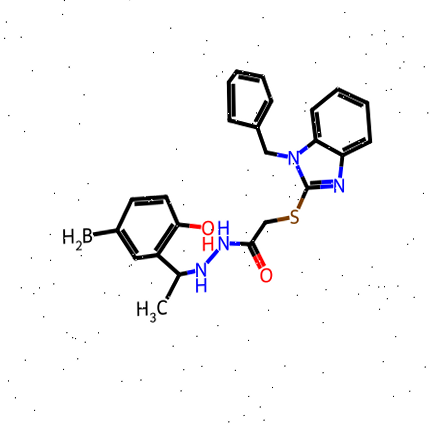 Bc1ccc(O)c(C(C)NNC(=O)CSc2nc3ccccc3n2Cc2ccccc2)c1